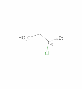 CC[C@H](Cl)CC(=O)O